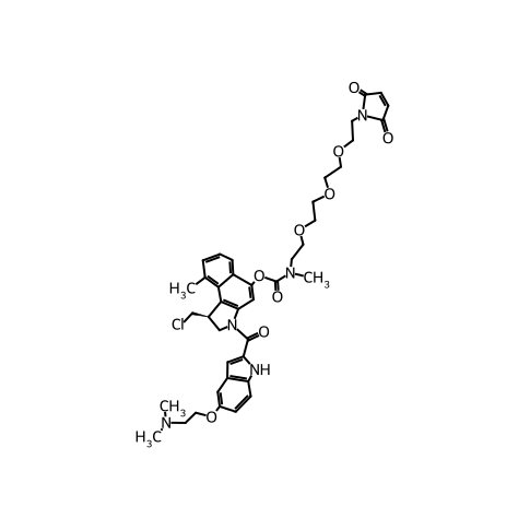 Cc1cccc2c(OC(=O)N(C)CCOCCOCCOCCN3C(=O)C=CC3=O)cc3c(c12)[C@H](CCl)CN3C(=O)c1cc2cc(OCCN(C)C)ccc2[nH]1